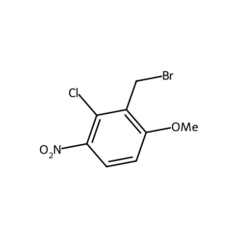 COc1ccc([N+](=O)[O-])c(Cl)c1CBr